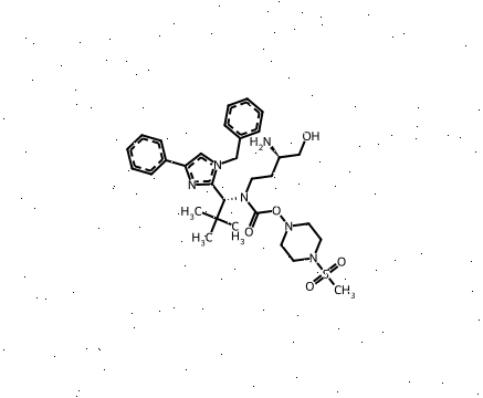 CC(C)(C)[C@H](c1nc(-c2ccccc2)cn1Cc1ccccc1)N(CC[C@@H](N)CO)C(=O)ON1CCN(S(C)(=O)=O)CC1